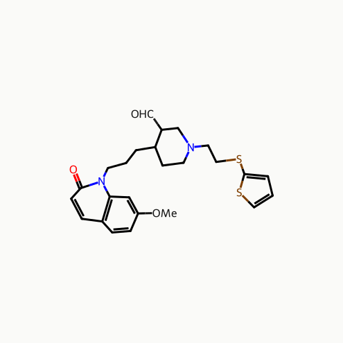 COc1ccc2ccc(=O)n(CCCC3CCN(CCSc4cccs4)CC3C=O)c2c1